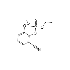 CCOP(=S)(CC)Oc1c(C#N)cccc1OC